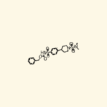 CN(C)S(=O)(=O)N1CCC(c2[c]cc(S(=O)(=O)NC(=O)OCc3ccccc3)cc2)CC1